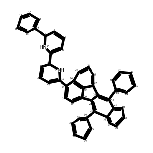 C1=CC(C2=CC=CC(c3ccccc3)N2)NC(c2ccc3c4c(cccc24)-c2c-3c(-c3ccccc3)c3ccccc3c2-c2ccccc2)=C1